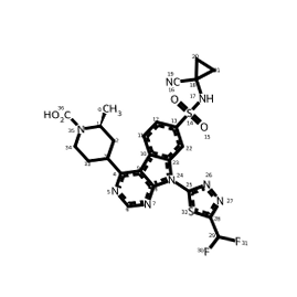 C[C@H]1CC(c2ncnc3c2c2ccc(S(=O)(=O)NC4(C#N)CC4)cc2n3-c2nnc(C(F)F)s2)CCN1C(=O)O